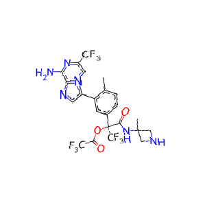 Cc1ccc(C(OC(=O)C(F)(F)F)(C(=O)NC2(C)CNC2)C(F)(F)F)cc1-c1cnc2c(N)nc(C(F)(F)F)cn12